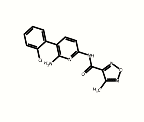 Cc1nonc1C(=O)Nc1ccc(-c2ccccc2Cl)c(N)n1